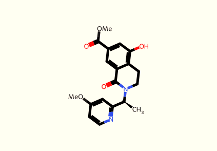 COC(=O)c1cc(O)c2c(c1)C(=O)N([C@@H](C)c1cc(OC)ccn1)CC2